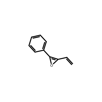 C=CC1=C(c2ccccc2)O1